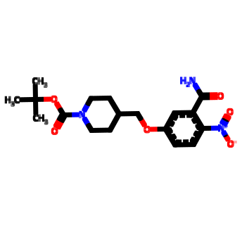 CC(C)(C)OC(=O)N1CCC(COc2ccc([N+](=O)[O-])c(C(N)=O)c2)CC1